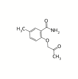 CC(=O)COc1ccc(C)cc1C(N)=O